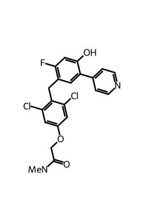 CNC(=O)COc1cc(Cl)c(Cc2cc(-c3ccncc3)c(O)cc2F)c(Cl)c1